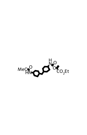 C=C(OC(=O)NC1CCC(CC2CCC(NC(=O)OC)CC2)CC1)C(=O)OCC